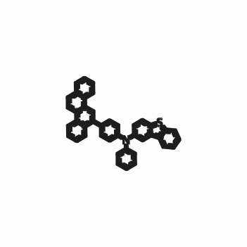 c1ccc(N(c2ccc(-c3cc4c5ccccc5ccc4c4ccccc34)cc2)c2ccc3sc4ccccc4c3c2)cc1